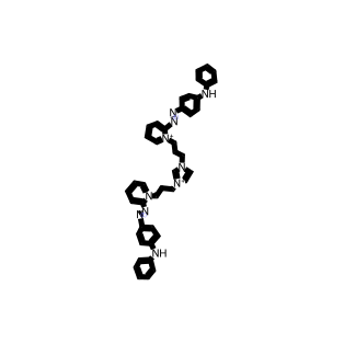 c1ccc(Nc2ccc(/N=N/c3cccc[n+]3CCCn3cc[n+](CCC[n+]4ccccc4/N=N/c4ccc(Nc5ccccc5)cc4)c3)cc2)cc1